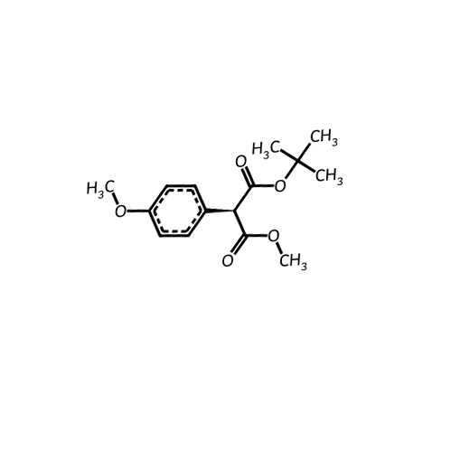 COC(=O)[C@H](C(=O)OC(C)(C)C)c1ccc(OC)cc1